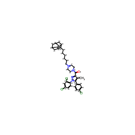 Cc1c(C(=O)N2CCN(CCCCCCC3C4CC5CC(C4)CC3C5)CC2)nn(-c2ccc(Cl)cc2Cl)c1-c1ccc(Cl)cc1